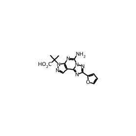 CC(C)(C(=O)O)n1ncc2c1nc(N)n1nc(-c3ccco3)nc21